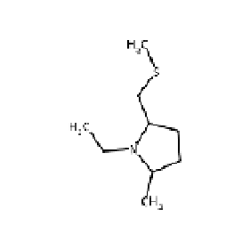 CCN1C(C)CCC1CSC